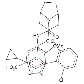 COc1ccc(C(=O)O)cc1NC(=O)N1C2CCC1CC(OCc1c(-c3c(Cl)cccc3Cl)noc1C1CC1)C2